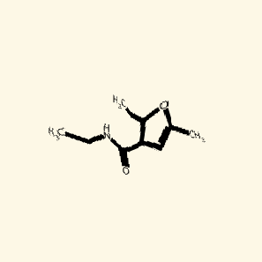 CCNC(=O)C1C=C(C)OC1C